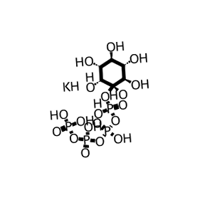 O=P(O)(O)OP(=O)(O)OP(=O)(O)OP(=O)(O)O[C@]1(O)[C@H](O)[C@H](O)[C@@H](O)[C@H](O)[C@H]1O.[KH]